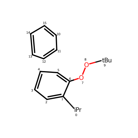 CC(C)c1ccccc1OOC(C)(C)C.c1ccccc1